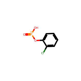 O=[PH](O)Oc1ccccc1Cl